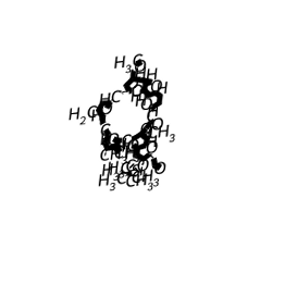 C=C1C[C@@H]2CC[C@]34CC(COC)[C@H](O3)[C@H]3C[C@@H](O4)[C@H]4O[C@H](CC[C@@H]4O3)CC(=O)O[C@@H]3[C@@H](C)[C@@H]4O[C@H](CC=O)[C@H](O[Si](C)(C)C(C)(C)C)C[C@@H]4O[C@H]3C[C@H]3O[C@@H](CC[C@@H]1O2)C[C@@H](C)C3=C